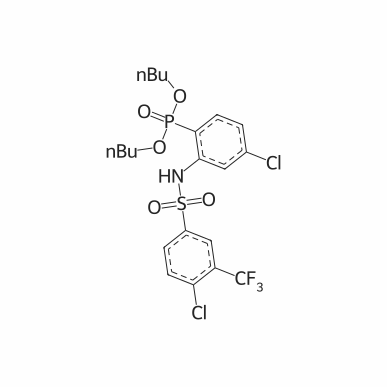 CCCCOP(=O)(OCCCC)c1ccc(Cl)cc1NS(=O)(=O)c1ccc(Cl)c(C(F)(F)F)c1